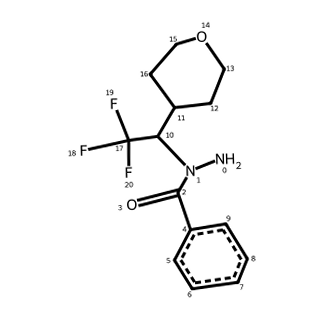 NN(C(=O)c1ccccc1)C(C1CCOCC1)C(F)(F)F